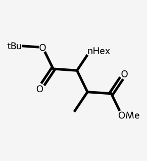 CCCCCCC(C(=O)OC(C)(C)C)C(C)C(=O)OC